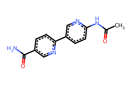 CC(=O)Nc1ccc(-c2[c]cc(C(N)=O)cn2)cn1